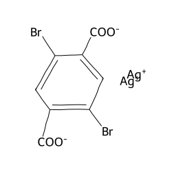 O=C([O-])c1cc(Br)c(C(=O)[O-])cc1Br.[Ag+].[Ag+]